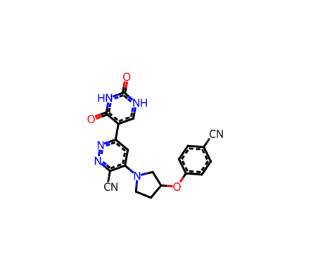 N#Cc1ccc(OC2CCN(c3cc(-c4c[nH]c(=O)[nH]c4=O)nnc3C#N)C2)cc1